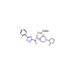 COC(=O)[C@@H]1CN(C2CCCC2C)CC[C@H]1NC(=O)c1noc(-c2ccc(F)cc2F)n1